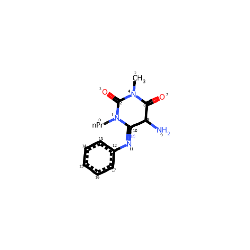 CCCN1C(=O)N(C)C(=O)C(N)/C1=N/c1ccccc1